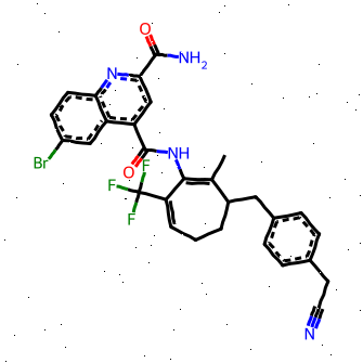 CC1=C(NC(=O)c2cc(C(N)=O)nc3ccc(Br)cc23)C(C(F)(F)F)=CCCC1Cc1ccc(CC#N)cc1